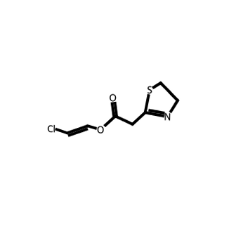 O=C(CC1=NCCS1)OC=CCl